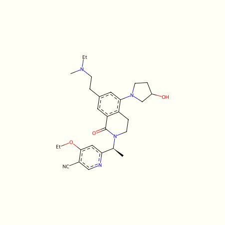 CCOc1cc([C@H](C)N2CCc3c(cc(CCN(C)CC)cc3N3CCC(O)C3)C2=O)ncc1C#N